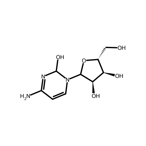 NC1=NC(O)N(C2O[C@H](CO)[C@@H](O)[C@H]2O)C=C1